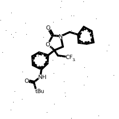 CC(C)(C)C(=O)Nc1cccc(C2(CC(F)(F)F)CN(Cc3ccccc3)C(=O)O2)c1